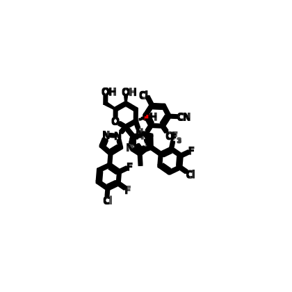 Cc1nc(C2(n3cc(-c4ccc(Cl)c(F)c4F)cn3)O[C@@H](CO)[C@@H](O)C[C@@]2(O)n2cc(-c3ccc(Cl)c(F)c3F)cn2)n(-c2cc(Cl)cc(C#N)c2C(F)(F)F)n1